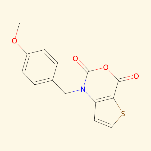 COc1ccc(Cn2c(=O)oc(=O)c3sccc32)cc1